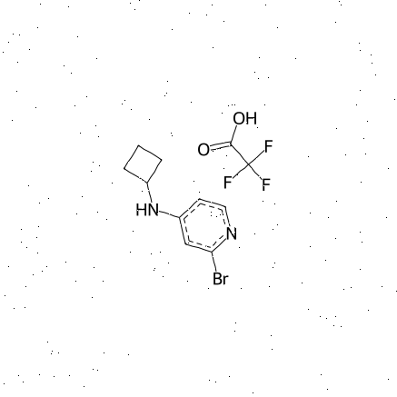 Brc1cc(NC2CCC2)ccn1.O=C(O)C(F)(F)F